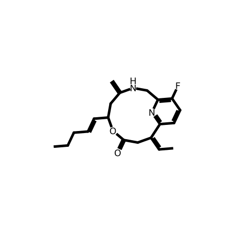 C=C1CC(/C=C/CCC)OC(=O)C/C(=C/C)c2ccc(F)c(n2)CN1